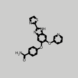 NC(=O)c1ccc(Oc2cc3nc(-c4nccs4)[nH]c3cc2Oc2cccnc2)cc1